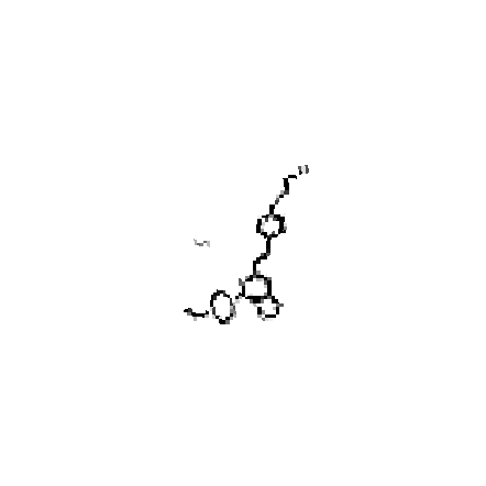 CCN1CCN(c2nc(C=Cc3ccc(OCCO)cc3)cc3ccsc23)CC1.Cl